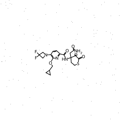 NC(=O)CC1(NC(=O)c2ccc(N3CC(F)(F)C3)c(OCC3CC3)n2)CCSC(=O)C1=O